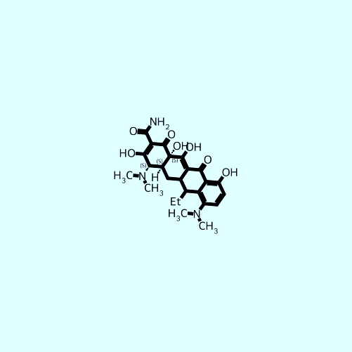 CCC1c2c(N(C)C)ccc(O)c2C(=O)C2=C(O)[C@]3(O)C(=O)C(C(N)=O)=C(O)[C@@H](N(C)C)[C@@H]3CC21